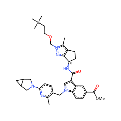 COC(=O)c1ccc2c(c1)c(C(=O)N[C@@H]1CCc3c1nn(COCC[Si](C)(C)C)c3C)cn2Cc1ccc(N2CC3CC3C2)nc1C